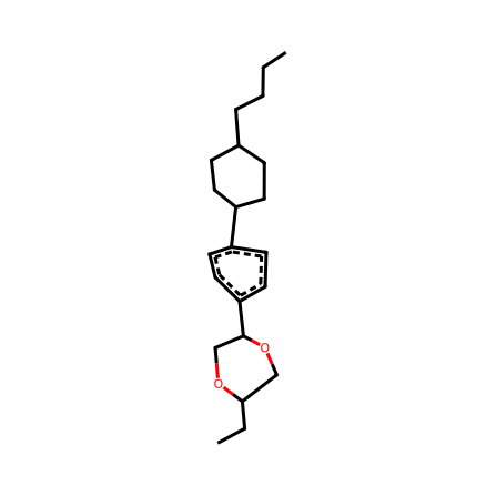 CCCCC1CCC(c2ccc(C3COC(CC)CO3)cc2)CC1